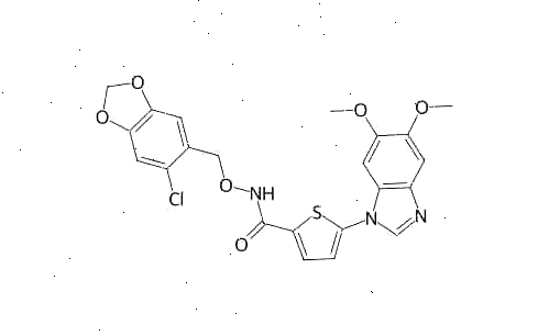 COc1cc2ncn(-c3ccc(C(=O)NOCc4cc5c(cc4Cl)OCO5)s3)c2cc1OC